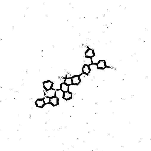 Cc1ccc(C(c2ccc(C)cc2)c2ccc(-c3ccc4c(c3)C(C)(C)c3cc(N(c5ccccc5)c5cccc6c7ccccc7n(C)c56)c5ccccc5c3-4)cc2)cc1